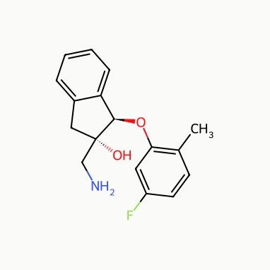 Cc1ccc(F)cc1O[C@@H]1c2ccccc2C[C@]1(O)CN